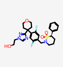 O=S1(=O)[C@@H](c2ccccc2)CCCN1Cc1cc(F)c(C2(c3ncn(CCO)n3)CCOCC2)cc1F